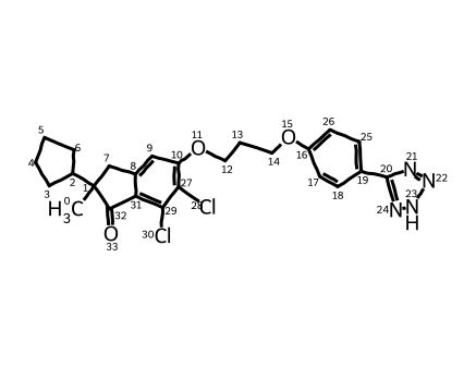 CC1(C2CCCC2)Cc2cc(OCCCOc3ccc(-c4nn[nH]n4)cc3)c(Cl)c(Cl)c2C1=O